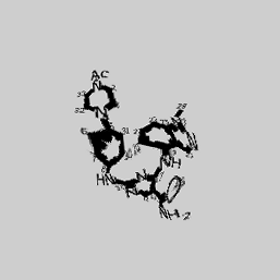 CC(=O)N1CCN(c2ccc(Nc3ncc(C(N)=O)c(Nc4cccc5c4cnn5C)n3)cc2)CC1